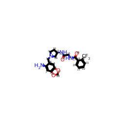 Nc1cc2c(cc1CN1CC[C@@H](NC(=O)CNC(=O)c3ccccc3C(F)(F)F)C1)OCO2